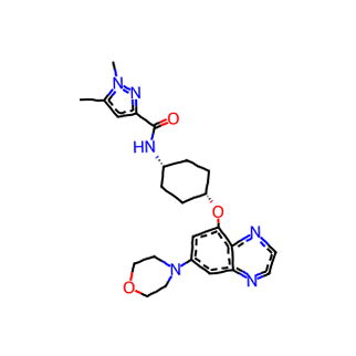 Cc1cc(C(=O)N[C@H]2CC[C@@H](Oc3cc(N4CCOCC4)cc4nccnc34)CC2)nn1C